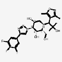 Cc1noc(C)c1C([SH]1C[C@H](O)[C@H](n2cc(-c3cc(F)c(F)c(F)c3)nn2)[C@@H](O)[C@H]1CO)C(C)(C)O